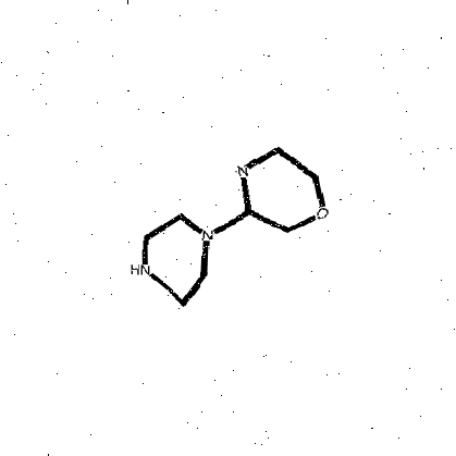 C1COCC(N2CCNCC2)[N]1